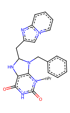 CCCn1c2c(c(=O)[nH]c1=O)NC(Cc1cn3ccccc3n1)N2Cc1ccccc1